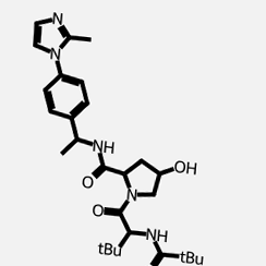 Cc1nccn1-c1ccc(C(C)NC(=O)C2CC(O)CN2C(=O)C(NC(=O)C(C)(C)C)C(C)(C)C)cc1